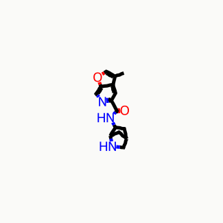 Cc1coc2cnc(C(=O)NC3CC4CNC3C4)cc12